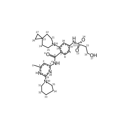 Cc1cc(NC(=O)c2ccc(NS(=O)(=O)CCO)cc2N2CCC3(CC2)CC3)nc(N2CCCCC2)n1